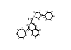 c1ccc2c(N3CCCCCC3)nc(N[C@@H]3CCN(C4CCCCC4)C3)nc2c1